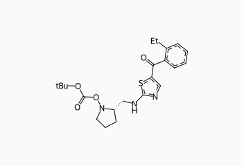 CCc1ccccc1C(=O)c1cnc(NC[C@@H]2CCCN2OC(=O)OC(C)(C)C)s1